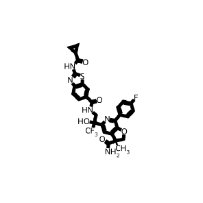 C[C@]1(C(N)=O)COc2c1cc(C(O)(CNC(=O)c1ccc3nc(NC(=O)C4CC4)sc3c1)C(F)(F)F)nc2-c1ccc(F)cc1